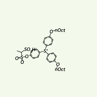 CC(S(=O)(=O)[O-])S(=O)(=O)O.CCCCCCCCOc1ccc([S+](c2ccccc2)c2ccc(OCCCCCCCC)cc2)cc1